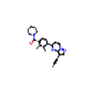 CC#Cc1cnn2ccc(-c3ccc(C(=O)N4CCCCC4)c(C)c3C)nc12